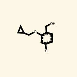 OCc1ccc(Cl)cc1OCC1CC1